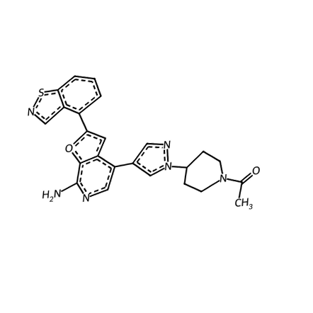 CC(=O)N1CCC(n2cc(-c3cnc(N)c4oc(-c5cccc6sncc56)cc34)cn2)CC1